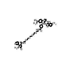 CC(C)N(C)C1CCC(N2CC[C@H](Nc3ncnc4ccc(C(F)(F)F)cc34)C2=O)[C@H](N[C@H]2CC[C@@H](C(=O)NCCOCCOCCOCCOCCNC(=O)[C@H]3CC(=O)N(C)[C@@H]3c3cccnc3)CC2)C1